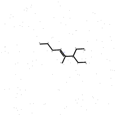 CCC/C=C(\C)C(CC)CC